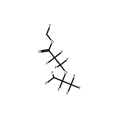 O=C(OCF)C(F)(F)C(F)(F)OC(F)([C](F)F)C(F)(F)F